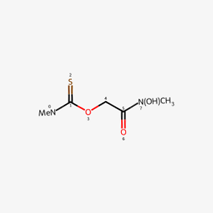 CNC(=S)OCC(=O)N(C)O